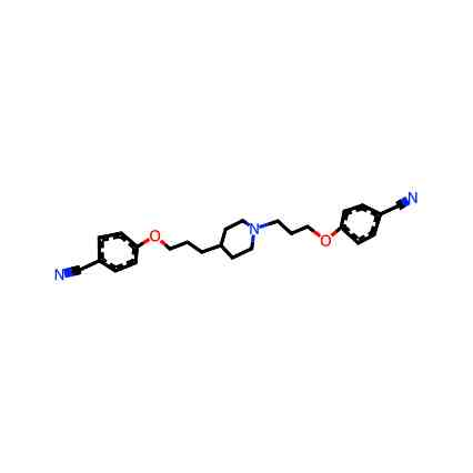 N#Cc1ccc(OCCCC2CCN(CCCOc3ccc(C#N)cc3)CC2)cc1